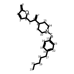 C=C1C=CC(CC(=C)C2CCN(Sc3ccc(CCCCC)cc3)CC2)O1